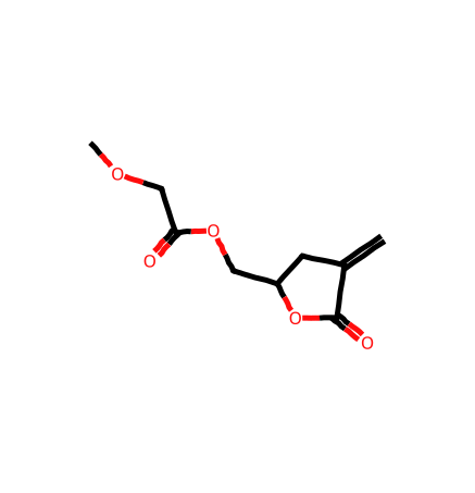 C=C1CC(COC(=O)COC)OC1=O